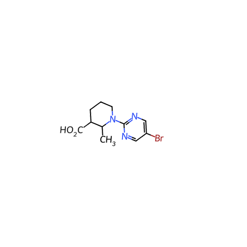 CC1C(C(=O)O)CCCN1c1ncc(Br)cn1